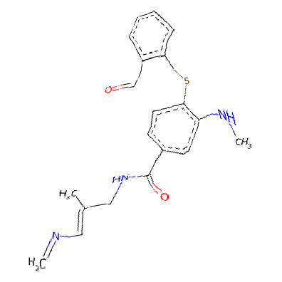 C=N/C=C(\C)CNC(=O)c1ccc(Sc2ccccc2C=O)c(NC)c1